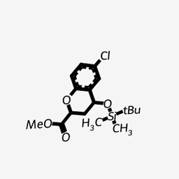 COC(=O)C1CC(O[Si](C)(C)C(C)(C)C)c2cc(Cl)ccc2O1